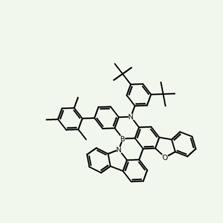 Cc1cc(C)c(-c2ccc3c(c2)B2c4c(cc5c(oc6ccccc65)c4-c4cccc5c6ccccc6n2c45)N3c2cc(C(C)(C)C)cc(C(C)(C)C)c2)c(C)c1